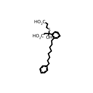 O=C(O)CCSC(O)(CC(=O)O)c1ccccc1CCCCCCCCc1ccccc1